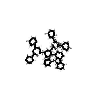 c1ccc(-c2cc(-c3ccccc3)nc(-c3ccc(-c4cccc5c6ccccc6n(-c6ccccc6)c45)c(-c4nc(-c5ccccc5)nc(-c5ccccc5)n4)c3)c2)cc1